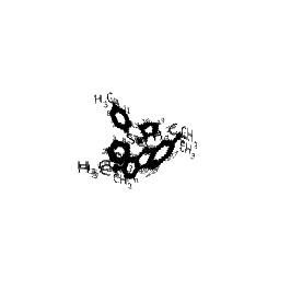 Cc1ccc([Si](c2ccc(C)cc2)=[Zr]([CH]2C=CC=C2)[CH]2c3cc(C(C)(C)C)ccc3-c3ccc(C(C)(C)C)cc32)cc1